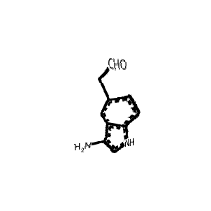 Nc1c[nH]c2ccc(CC=O)cc12